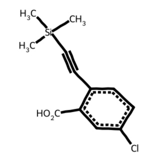 C[Si](C)(C)C#Cc1ccc(Cl)cc1C(=O)O